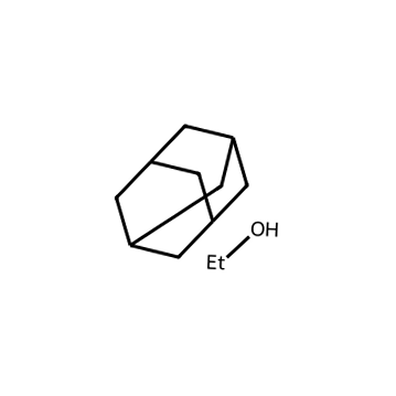 C1C2CC3CC1CC(C2)C3.CCO